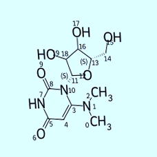 CN(C)c1cc(=O)[nH]c(=O)n1[C@H]1O[C@@H](CO)C(O)C1O